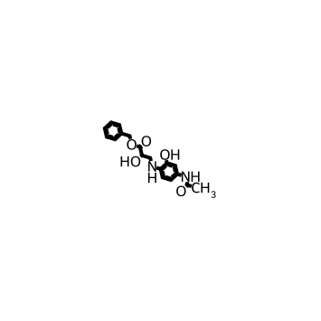 CC(=O)Nc1ccc(NCC(O)C(=O)OCc2ccccc2)c(O)c1